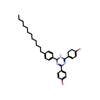 CCCCCCCCCCCCc1ccc(C2N=C(c3ccc(Br)cc3)N=C(C3=CC=C(Br)CC3)N2)cc1